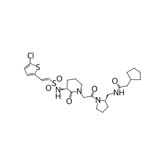 O=C(CC1CCCC1)NC[C@H]1CCCN1C(=O)CN1CCC[C@H](NS(=O)(=O)/C=C/c2ccc(Cl)s2)C1=O